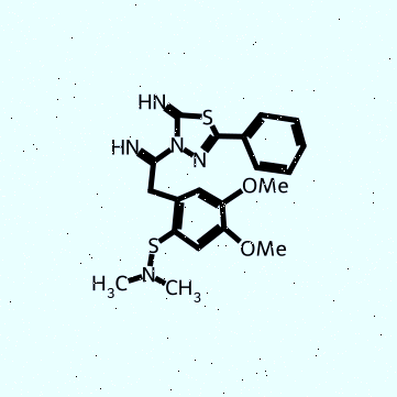 COc1cc(CC(=N)n2nc(-c3ccccc3)sc2=N)c(SN(C)C)cc1OC